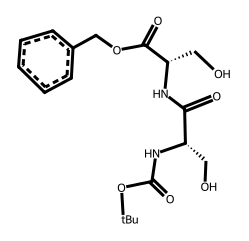 CC(C)(C)OC(=O)N[C@@H](CO)C(=O)N[C@@H](CO)C(=O)OCc1ccccc1